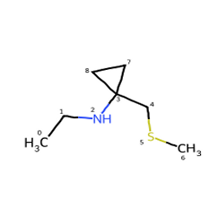 CCNC1(CSC)CC1